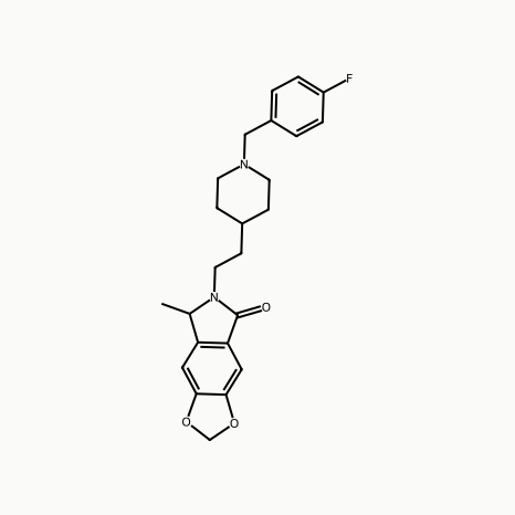 CC1c2cc3c(cc2C(=O)N1CCC1CCN(Cc2ccc(F)cc2)CC1)OCO3